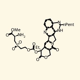 CCCCCC1=Nc2cccc3nc4c(c(c23)N1)Cn1c-4cc2c(c1=O)COC(=O)[C@@]2(CC)OC(=O)OCCS(=O)(=O)C[C@H](N)C(=O)OC